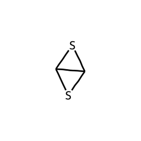 S1C2SC12